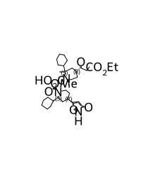 CCOC(=O)CC(=O)[C@@H]1CCN(C(=O)O)[C@](C)(C2CCCCC2)C1.COC(=O)N1CC[C@@H](c2cc(=O)[nH]o2)C[C@H]1C1CCCCC1